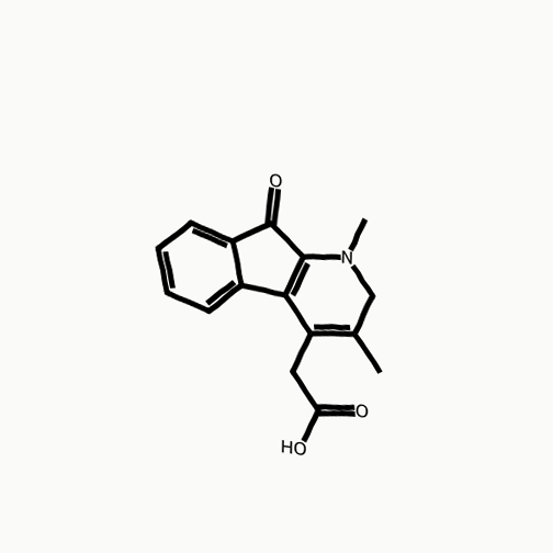 CC1=C(CC(=O)O)C2=C(C(=O)c3ccccc32)N(C)C1